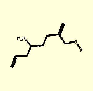 C=CCC(N)CCC(=C)CSF